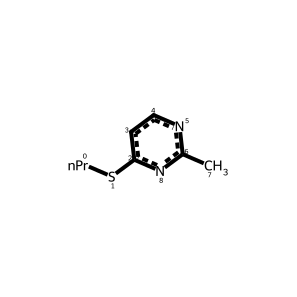 CCCSc1ccnc(C)n1